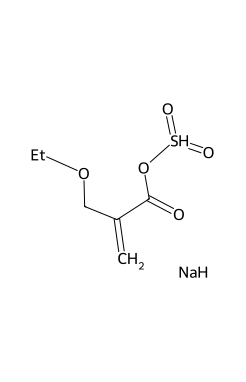 C=C(COCC)C(=O)O[SH](=O)=O.[NaH]